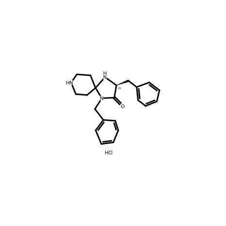 Cl.O=C1[C@H](Cc2ccccc2)NC2(CCNCC2)N1Cc1ccccc1